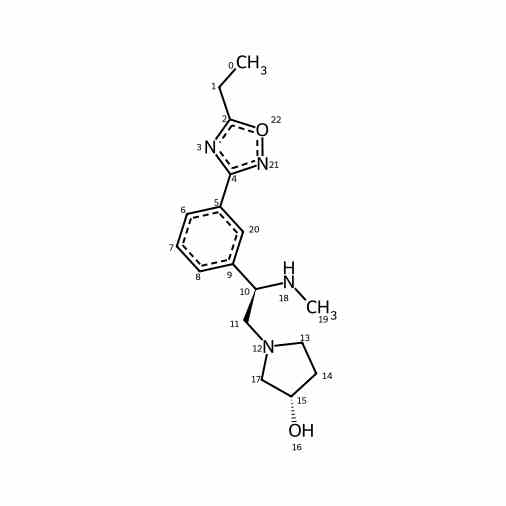 CCc1nc(-c2cccc([C@H](CN3CC[C@H](O)C3)NC)c2)no1